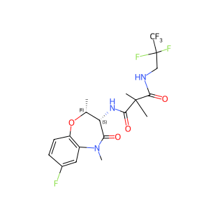 C[C@H]1Oc2ccc(F)cc2N(C)C(=O)[C@H]1NC(=O)C(C)(C)C(=O)NCC(F)(F)C(F)(F)F